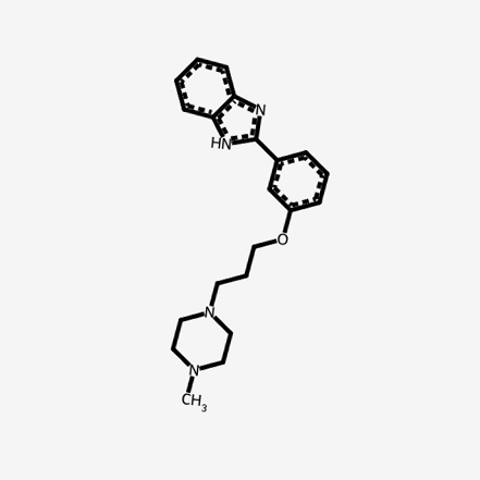 CN1CCN(CCCOc2cccc(-c3nc4ccccc4[nH]3)c2)CC1